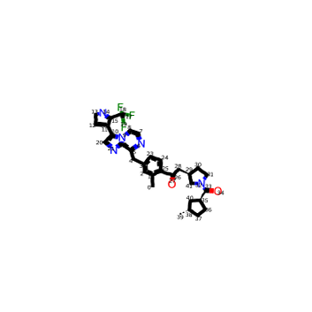 Cc1cc(Cc2nccn3c(C4=CCN=C4C(F)(F)F)cnc23)ccc1C(=O)C[C@H]1CCN(C(=O)[C@H]2CC[C@H](C)C2)C1